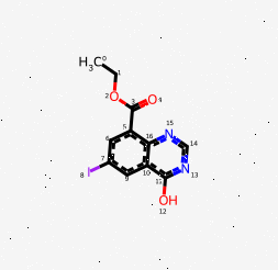 CCOC(=O)c1cc(I)cc2c(O)ncnc12